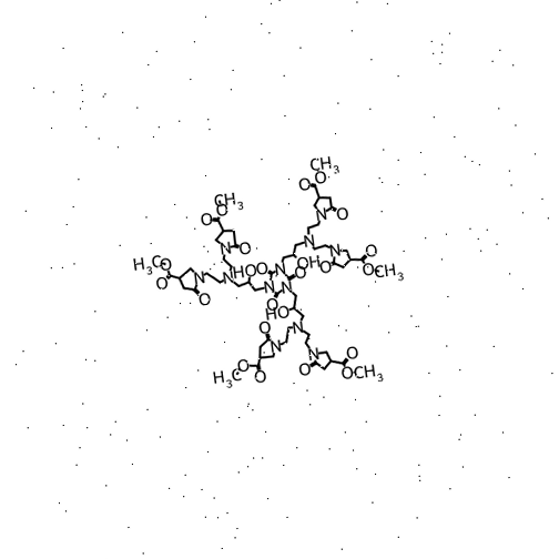 COC(=O)C1CC(=O)N(CCN(CCN2CC(C(=O)OC)CC2=O)CC(O)Cn2c(=O)n(CC(O)CN(CCN3CC(C(=O)OC)CC3=O)CCN3CC(C(=O)OC)CC3=O)c(=O)n(CC(O)CN(CCN3CC(C(=O)OC)CC3=O)CCN3CC(C(=O)OC)CC3=O)c2=O)C1